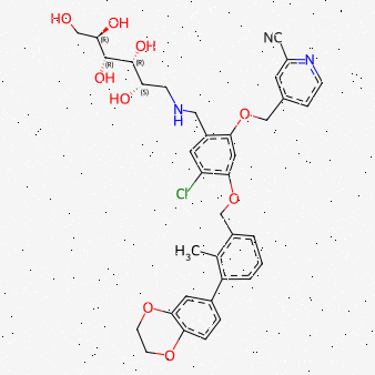 Cc1c(COc2cc(OCc3ccnc(C#N)c3)c(CNC[C@H](O)[C@@H](O)[C@H](O)[C@H](O)CO)cc2Cl)cccc1-c1ccc2c(c1)OCCO2